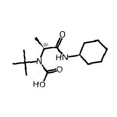 C[C@@H](C(=O)NC1CCCCC1)N(C(=O)O)C(C)(C)C